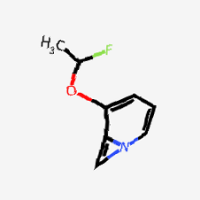 CC(F)OC1=CC=CN2C=C12